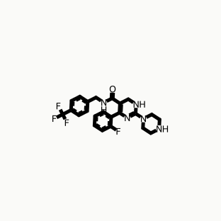 O=C(NCc1ccc(C(F)(F)F)cc1)C1=C(c2ccccc2F)N=C(N2CCNCC2)NC1